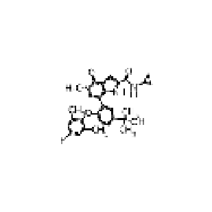 Cc1cc(F)cc(C)c1Oc1ccc(C(C)(C)O)cc1-c1cn(C)c(=O)c2cc(C(=O)NC3CC3)[nH]c12